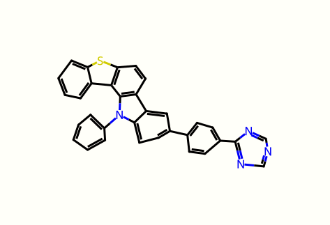 c1ccc(-n2c3ccc(-c4ccc(-c5ncncn5)cc4)cc3c3ccc4sc5ccccc5c4c32)cc1